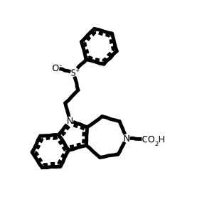 O=C(O)N1CCc2c(n(CC[S+]([O-])c3ccccc3)c3ccccc23)CC1